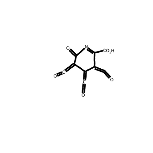 O=C=C1C(=O)N=C(C(=O)O)C(=C=O)C1=C=O